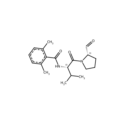 Cc1cccc(C)c1C(=O)N[C@H](C(=O)N1CCC[C@H]1C=O)C(C)C